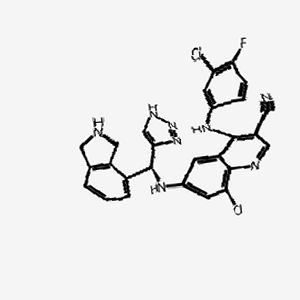 N#Cc1cnc2c(Cl)cc(N[C@H](c3c[nH]nn3)c3cccc4c3CNC4)cc2c1Nc1ccc(F)c(Cl)c1